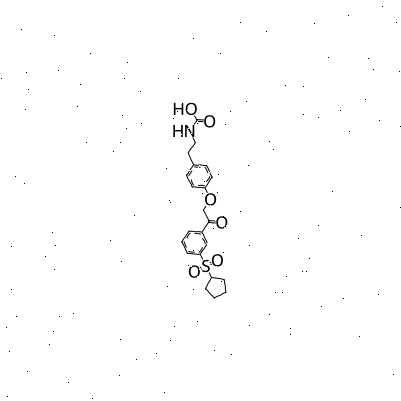 O=C(O)NCCc1ccc(OCC(=O)c2cccc(S(=O)(=O)C3CCCC3)c2)cc1